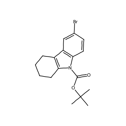 CC(C)(C)OC(=O)n1c2c(c3cc(Br)ccc31)CCCC2